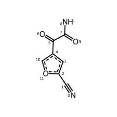 N#Cc1cc(C(=O)C([NH])=O)co1